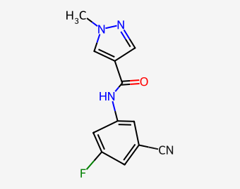 Cn1cc(C(=O)Nc2cc(F)cc(C#N)c2)cn1